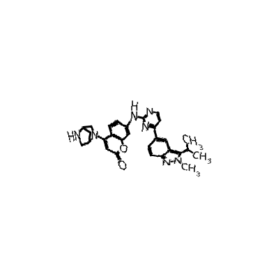 CC(C)c1c2cc(-c3ccnc(Nc4ccc5c(N6CC7CC6CN7)cc(=O)oc5c4)n3)ccc2nn1C